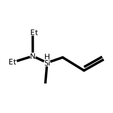 C=CC[SiH](C)N(CC)CC